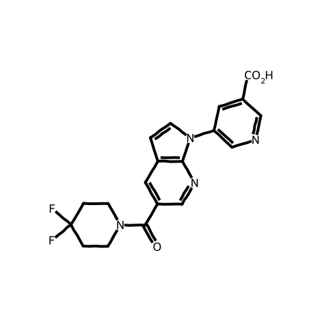 O=C(O)c1cncc(-n2ccc3cc(C(=O)N4CCC(F)(F)CC4)cnc32)c1